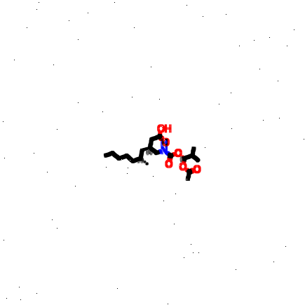 CCCCC[C@@H](C)C[C@H](CNC(=O)O[C@@H](OC(C)=O)C(C)C)CC(=O)O